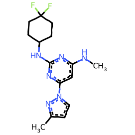 CNc1cc(-n2ccc(C)n2)nc(NC2CCC(F)(F)CC2)n1